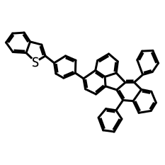 c1ccc(-c2c3c(c(-c4ccccc4)c4ccccc24)-c2ccc(-c4ccc(-c5cc6ccccc6s5)cc4)c4cccc-3c24)cc1